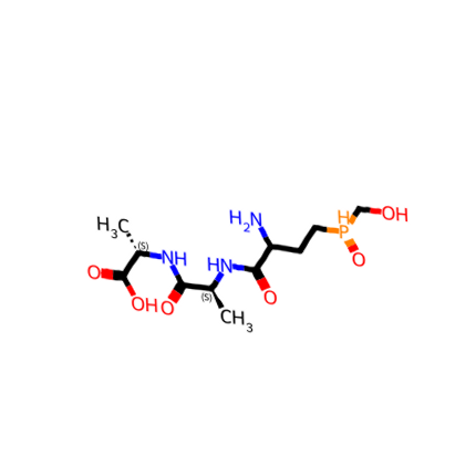 C[C@H](NC(=O)[C@H](C)NC(=O)C(N)CC[PH](=O)CO)C(=O)O